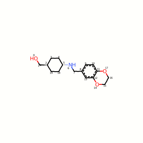 OC[C@H]1CC[C@H](NCc2ccc3c(c2)OCCO3)CC1